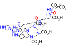 O=C(O)CCC(NC(=O)NC(CCCCNC(=O)CCCCCCCNc1nc(Nc2ccc(CC3CN(C(=O)O)CCN(CC(=O)O)CCN(CC(=O)O)CCN3CC(=O)O)cc2)nc(N2CCNCC2)n1)C(=O)O)C(=O)O